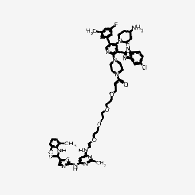 Cc1cc(F)cc(-c2cnc(N3CCN(C(=O)CCOCCOCCOCCOCCNc4cc(Nc5ncc(C(=O)Nc6c(C)cccc6Cl)s5)nc(C)n4)CC3)c(-c3nc4cc(Cl)ccc4[nH]3)c2N2CCC(N)CC2)c1